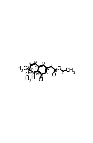 CCOC(=O)Cc1cc(Cl)c2c(c1)C=CC(C)(C)N2